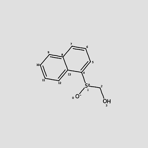 [O-][S+](CO)c1cccc2ccccc12